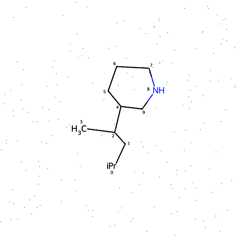 CC(C)CC(C)C1CCCNC1